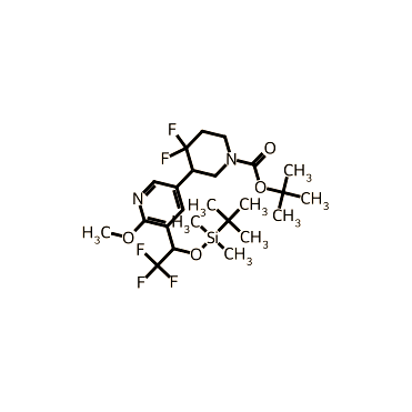 COc1ncc(C2CN(C(=O)OC(C)(C)C)CCC2(F)F)cc1C(O[Si](C)(C)C(C)(C)C)C(F)(F)F